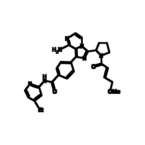 CCc1ccnc(NC(=O)c2ccc(-c3nc(C4CCCN4C(=O)/C=C/COC)n4ccnc(N)c34)cc2)c1